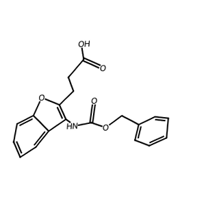 O=C(O)CCc1oc2ccccc2c1NC(=O)OCc1ccccc1